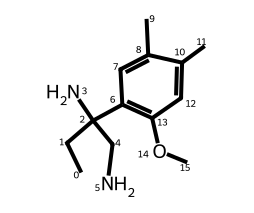 CCC(N)(CN)c1cc(C)c(C)cc1OC